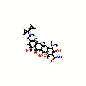 C=C1C(C(N)=O)=C(O)[C@@H](N(C)C)C2C[C@@H]3Cc4c(F)c(CN(C)C5(C6CC6)CC5)cc(O)c4C(=O)C3=C(O)[C@]12O